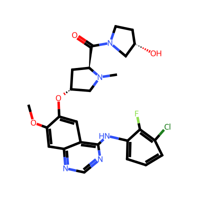 COc1cc2ncnc(Nc3cccc(Cl)c3F)c2cc1O[C@@H]1C[C@@H](C(=O)N2CC[C@H](O)C2)N(C)C1